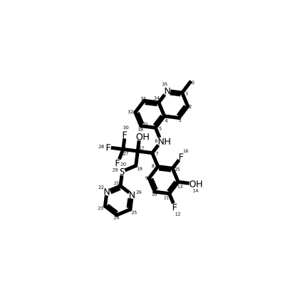 Cc1ccc2c(NC(c3ccc(F)c(O)c3F)C(O)(CSc3ncccn3)C(F)(F)F)cccc2n1